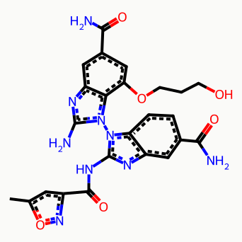 Cc1cc(C(=O)Nc2nc3cc(C(N)=O)ccc3n2-n2c(N)nc3cc(C(N)=O)cc(OCCCO)c32)no1